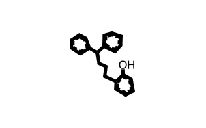 Oc1ccccc1CCCC(c1ccccc1)c1ccccc1